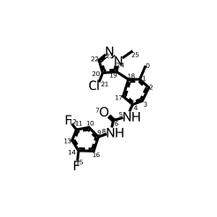 Cc1ccc(NC(=O)Nc2cc(F)cc(F)c2)cc1-c1c(Cl)cnn1C